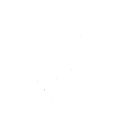 C/C=C/CCC(C)COC1(C)CO1